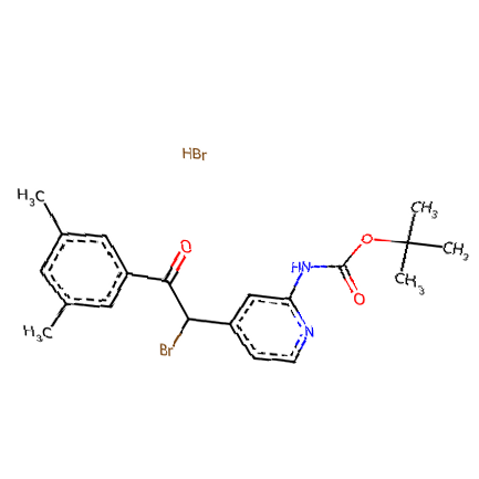 Br.Cc1cc(C)cc(C(=O)C(Br)c2ccnc(NC(=O)OC(C)(C)C)c2)c1